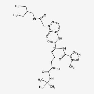 CCC(CC)CNC(=O)Cn1cccc(NC(=O)[C@H](CCCC(=O)C(=O)NC(C)(C)C)NC(=O)c2cncn2C)c1=O